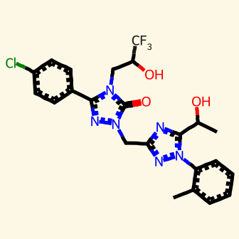 Cc1ccccc1-n1nc(Cn2nc(-c3ccc(Cl)cc3)n(CC(O)C(F)(F)F)c2=O)nc1C(C)O